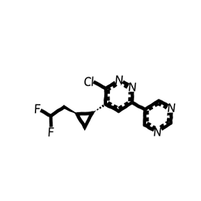 FC(F)C[C@@H]1C[C@H]1c1cc(-c2cncnc2)nnc1Cl